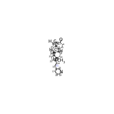 CN1C(=O)CC[C@]2(C)[C@H]3CC[C@]4(C)[C@@H](/C=C/c5cccnc5)CC[C@H]4[C@@H]3CC[C@@H]12